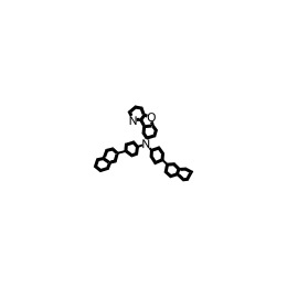 c1ccc2cc(-c3ccc(N(c4ccc(-c5ccc6ccccc6c5)cc4)c4ccc5oc6cccnc6c5c4)cc3)ccc2c1